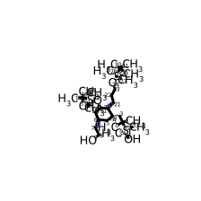 CC(C)(C[C@@H]1C/C(=C\CO)C[C@@H](O[Si](C)(C)C(C)(C)C)/C1=C\CCO[Si](C)(C)C(C)(C)C)[Si](C)(C)O